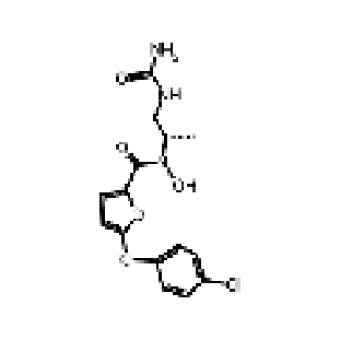 C[C@@H](CNC(N)=O)N(O)C(=O)c1ccc(Oc2ccc(Cl)cc2)o1